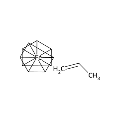 C=CC.[CH]12[CH]3[CH]4[CH]5[CH]1[Fe]23451678[CH]2[CH]1[CH]6[CH]7[CH]28